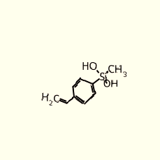 C=Cc1ccc([Si](C)(O)O)cc1